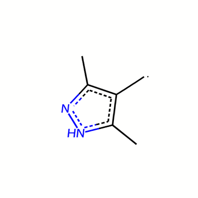 [CH2]c1c(C)n[nH]c1C